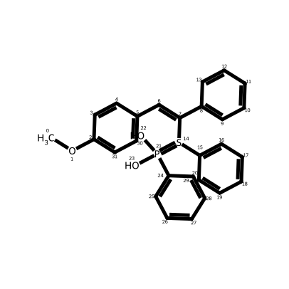 COc1ccc(C=C(c2ccccc2)S(c2ccccc2)=P(O)(O)c2ccccc2)cc1